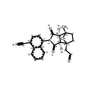 C[C@@]12CC[C@@](CC=O)(O1)[C@H]1C(=O)N(c3ccc(C#N)c4ccccc34)C(=O)[C@H]12